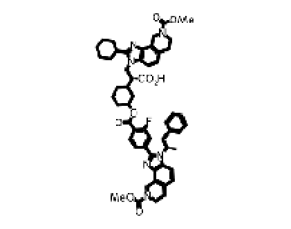 COC(=O)N1CCc2ccc3c(nc(C4CCCCC4)n3C[C@@H](C(=O)O)C3CCCC(OC(=O)c4ccc(-c5nc6c7c(ccc6n5[C@H](C)Cc5ccccc5)CCN(C(=O)OC)C7)cc4F)C3)c2C1